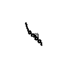 CCCCCCCCC1CCC([C@H]2CC[C@]3(CC2)C[C@@]2(CCC(C4CCC(CCC)CC4)CC2)C3(Cl)Cl)CC1